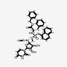 [N-]=[N+]=N[C@]1(COP(=O)(N[C@@H](Cc2ccccc2)C(=O)OCc2ccccc2)Oc2cccc3ccccc23)OC(n2ccc(=O)[nH]c2=O)[C@H](O)[C@@H]1O